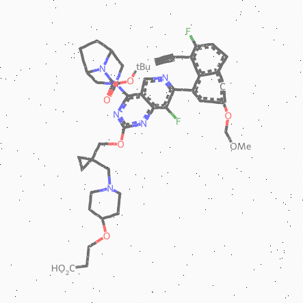 C#Cc1c(F)ccc2cc(OCOC)cc(-c3ncc4c(N5CC6CCC(C5)N6C(=O)OC(C)(C)C)nc(OCC5(CN6CCC(OCCC(=O)O)CC6)CC5)nc4c3F)c12